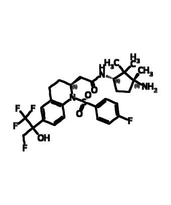 CC1(C)[C@@H](NC(=O)C[C@@H]2CCc3cc(C(O)(CF)C(F)(F)F)ccc3N2S(=O)(=O)c2ccc(F)cc2)CC[C@@]1(C)N